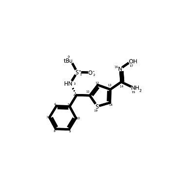 CC(C)(C)[S+]([O-])N[C@@H](c1ccccc1)c1cc(C(N)=NO)cs1